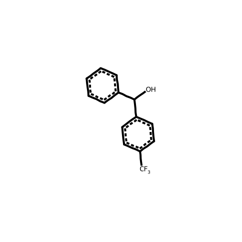 OC(c1ccccc1)c1ccc(C(F)(F)F)cc1